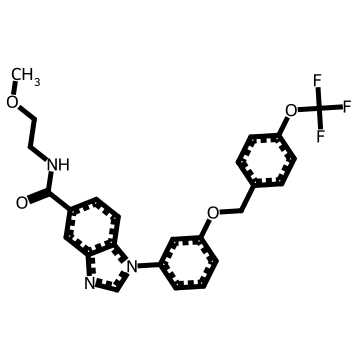 COCCNC(=O)c1ccc2c(c1)ncn2-c1cccc(OCc2ccc(OC(F)(F)F)cc2)c1